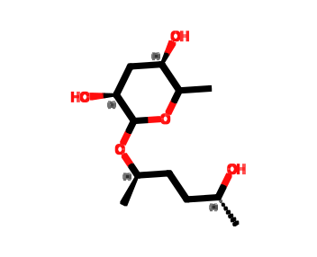 CC1OC(O[C@H](C)CC[C@@H](C)O)[C@@H](O)C[C@H]1O